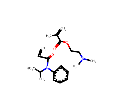 C=C(C)C(=O)OCCN(C)C.C=CC(=O)N(c1ccccc1)C(C)C(=O)O